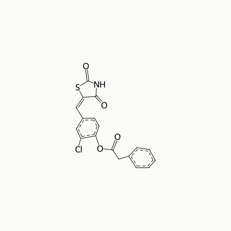 O=C(Cc1ccccc1)Oc1ccc(C=C2SC(=O)NC2=O)cc1Cl